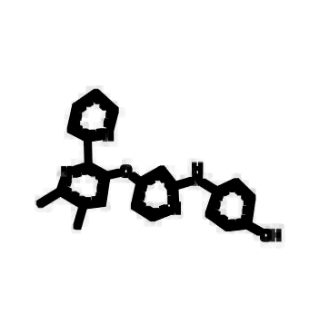 Cc1cc(Oc2ccnc(Nc3ccc(O)cc3)c2)c(-c2ccccn2)nc1C